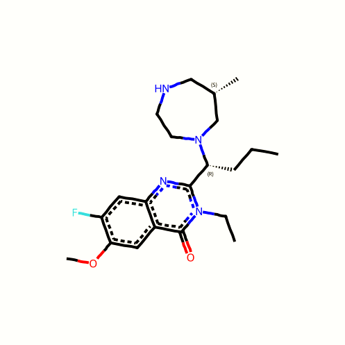 CCC[C@H](c1nc2cc(F)c(OC)cc2c(=O)n1CC)N1CCNC[C@H](C)C1